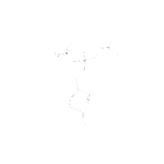 CC(=O)OCC(C)(CCc1ccc(Br)cc1)CC(N)=O